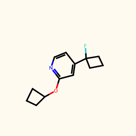 FC1(c2ccnc(OC3CCC3)c2)CCC1